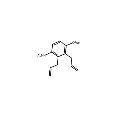 C=CCc1c(NC(C)=O)ccc(OC)c1CC=C